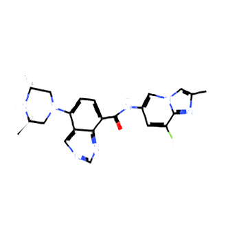 Cc1cn2cc(NC(=O)c3ccc(N4C[C@@H](C)N[C@H](C)C4)c4cncnc34)cc(F)c2n1